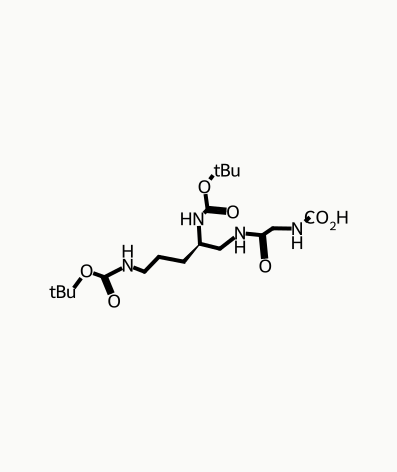 CC(C)(C)OC(=O)NCCC[C@H](CNC(=O)CNC(=O)O)NC(=O)OC(C)(C)C